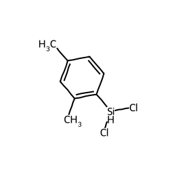 Cc1ccc([SiH](Cl)Cl)c(C)c1